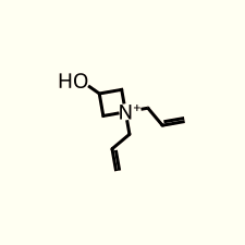 C=CC[N+]1(CC=C)CC(O)C1